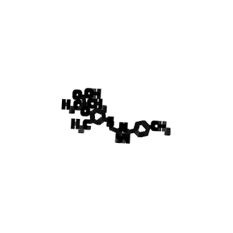 Cc1ccc(-c2nsc(CSc3ccc(OC(C)(C)C(=O)O)c(C)c3)n2)cc1